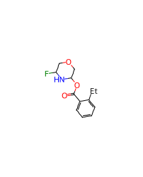 CCc1ccccc1C(=O)OC1COCC(F)N1